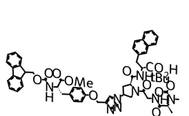 COC(=O)[C@H](Cc1ccc(OCc2cn(C3C[C@@H](C(=O)N[C@@H](Cc4ccc5ccccc5c4)C(=O)O)N(C(=O)CNC(=O)[C@H](C)N(C)C(=O)OC(C)(C)C)C3)nn2)cc1)NC(=O)OCC1c2ccccc2-c2ccccc21